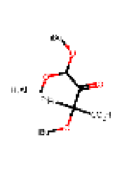 CCC(C)OC(OC(C)CC)C(=O)C(CC)(OC(C)CC)C(=O)O.[AlH3]